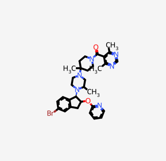 Cc1ncnc(C)c1C(=O)N1CCC(C)(N2CCN([C@@H]3c4ccc(Br)cc4CC3Oc3ccccn3)C(C)C2)CC1